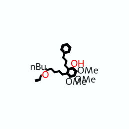 C=CCOC(CCCC)CCCCc1c(CCCc2ccccc2)c(O)c(OC)c(OC)c1OC